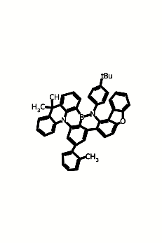 Cc1ccccc1-c1cc2c3c(c1)N1c4ccccc4C(C)(C)c4cccc(c41)B3N(c1ccc(C(C)(C)C)cc1)c1c-2ccc2oc3ccccc3c12